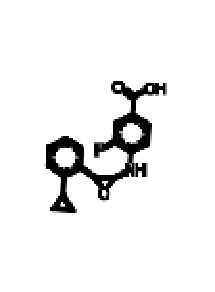 O=C(O)c1ccc(NC2OC2c2ccccc2C2CC2)c(F)c1